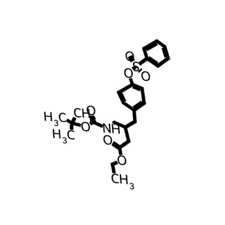 CCOC(=O)CC(CNC(=O)OC(C)(C)C)Cc1ccc(OS(=O)(=O)c2ccccc2)cc1